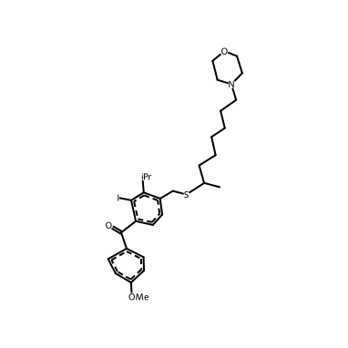 COc1ccc(C(=O)c2ccc(CSC(C)CCCCCCN3CCOCC3)c(C(C)C)c2I)cc1